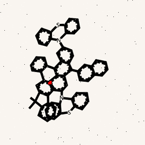 CC1(C)c2ccccc2-c2ccc(-c3ccccc3-c3c4ccc(N5c6ccccc6Sc6ccccc65)cc4c(-c4ccc5ccccc5c4)c4ccc(N5c6ccccc6Sc6ccccc65)cc34)cc21